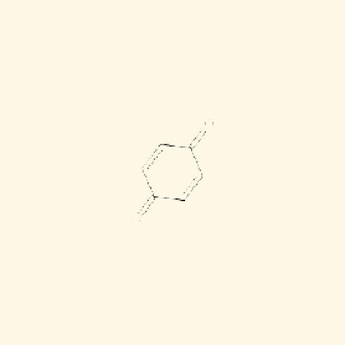 O=C1[C]=CC(=O)C=[C]1